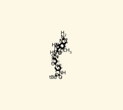 CC(C)(C)OC(=O)NC1CCN(C(=O)Cc2csc(NC(=O)c3n[nH]c4c3C(C)(C)Cc3cnc(N)nc3-4)n2)CC1